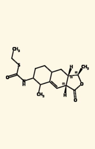 CCSC(=O)NC1CCC2C[C@@H]3[C@@H](C)OC(=O)[C@@H]3C=C2C1C